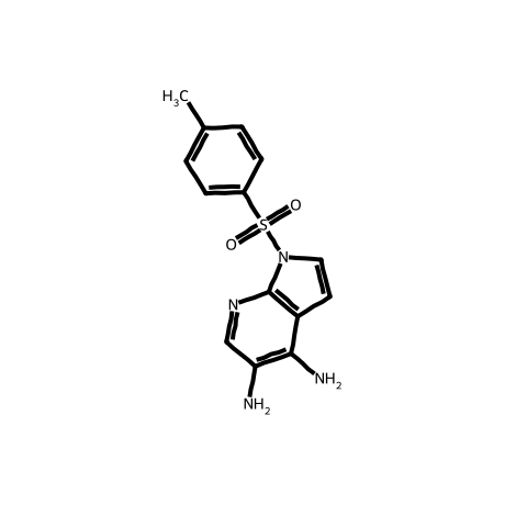 Cc1ccc(S(=O)(=O)n2ccc3c(N)c(N)cnc32)cc1